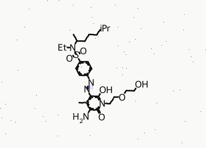 CCN(C(C)CCCC(C)C)S(=O)(=O)c1ccc(/N=N/c2c(C)c(N)c(=O)n(CCOCCO)c2O)cc1